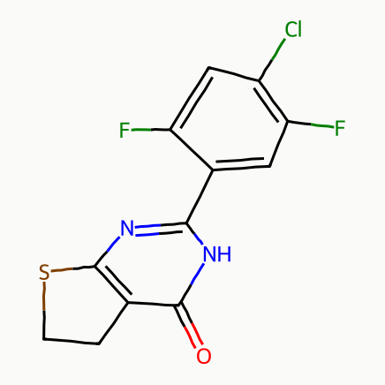 O=c1[nH]c(-c2cc(F)c(Cl)cc2F)nc2c1CCS2